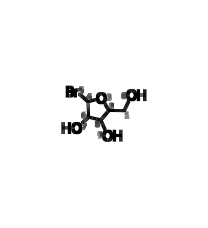 OCC1OC(Br)C(O)C1O